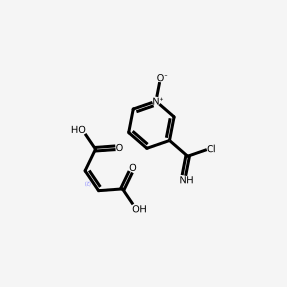 N=C(Cl)c1ccc[n+]([O-])c1.O=C(O)/C=C\C(=O)O